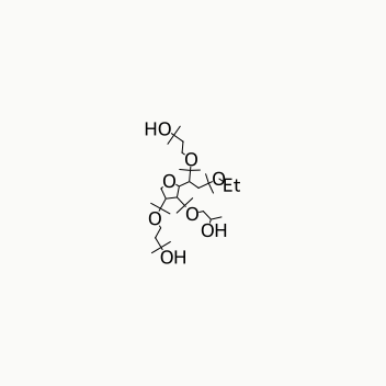 CCOC(C)(C)CC(C1OCC(C(C)(C)OCCC(C)(C)O)C1C(C)(C)OCC(C)O)C(C)(C)OCCC(C)(C)O